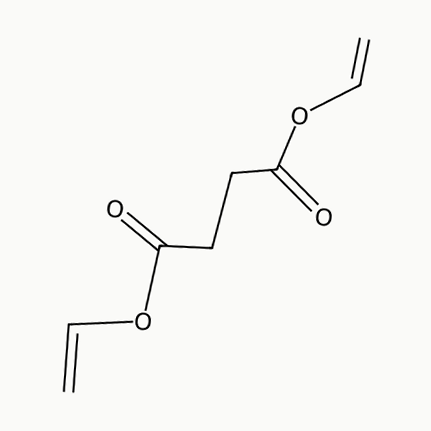 C=COC(=O)CCC(=O)OC=C